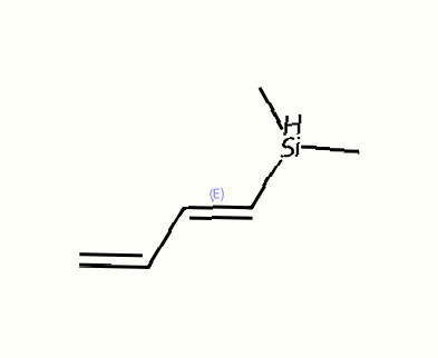 C=C/C=C/[SiH](C)C